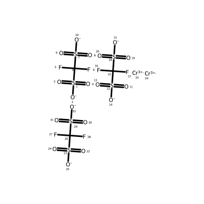 O=S(=O)([O-])C(F)(F)S(=O)(=O)[O-].O=S(=O)([O-])C(F)(F)S(=O)(=O)[O-].O=S(=O)([O-])C(F)(F)S(=O)(=O)[O-].[Cr+3].[Cr+3]